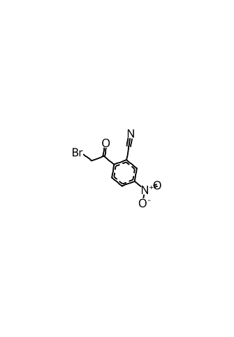 N#Cc1cc([N+](=O)[O-])ccc1C(=O)CBr